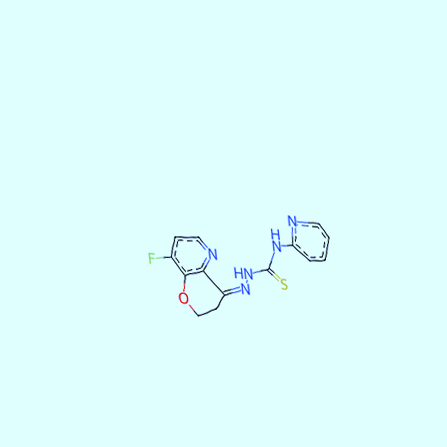 Fc1ccnc2c1OCC/C2=N/NC(=S)Nc1ccccn1